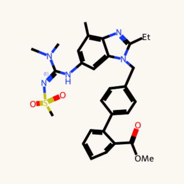 CCc1nc2c(C)cc(N/C(=N\S(C)(=O)=O)N(C)C)cc2n1Cc1ccc(-c2ccccc2C(=O)OC)cc1